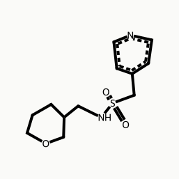 O=S(=O)(Cc1ccncc1)NCC1CCCOC1